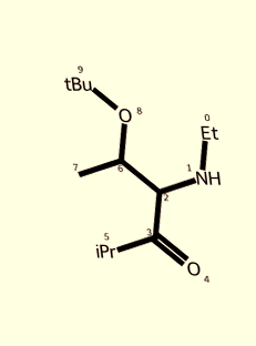 CCNC(C(=O)C(C)C)C(C)OC(C)(C)C